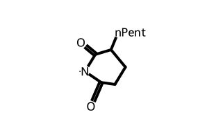 CCCCCC1CCC(=O)[N]C1=O